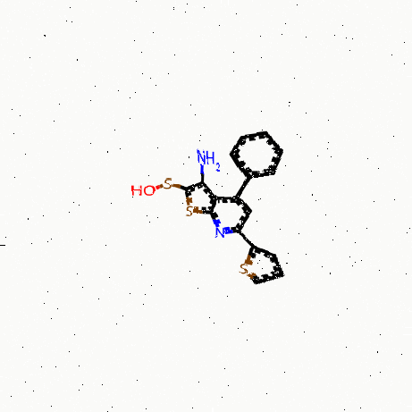 Nc1c(SO)sc2nc(-c3cccs3)cc(-c3ccccc3)c12